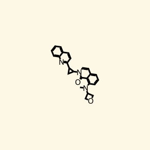 CN(c1cccc2ccn(C3CC3c3ccc4ccccc4n3)c(=O)c12)C1COC1